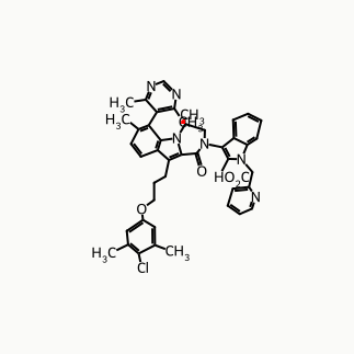 Cc1cc(OCCCc2c3n(c4c(-c5c(C)ncnc5C)c(C)ccc24)[C@H](C)CN(c2c(C(=O)O)n(Cc4ccccn4)c4ccccc24)C3=O)cc(C)c1Cl